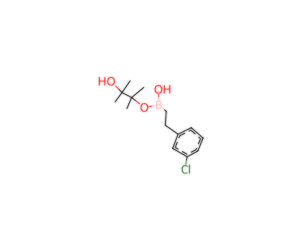 CC(C)(O)C(C)(C)OB(O)CCc1cccc(Cl)c1